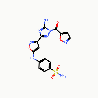 Nc1nc(-c2cc(Nc3ccc(S(N)(=O)=O)cc3)on2)nn1C(=O)c1ccno1